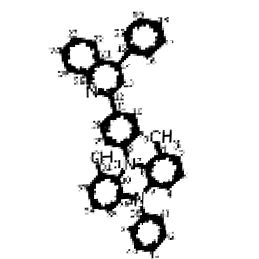 Cc1cccc2c1N(c1ccc(-c3cc(-c4ccccc4)c4ccccc4n3)cc1)c1c(C)cccc1N2c1ccccc1